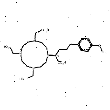 CCCCOc1ccc(CCC[C@@H](C(=O)O)N2CCN(CC(=O)O)CCN(CC(=O)O)CCN(CC(=O)O)CC2)cc1